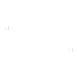 CCCC1=CCC(Cl)CC1